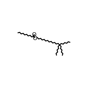 CCCCCCCCCC(=O)OCCCCCCCCCCCCCC(CCCCCC)(CCCCCC)CCCCCC